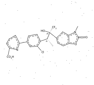 C[C@H](c1ccc(-c2cccc(C(=O)O)n2)cc1Cl)[C@@](O)(c1ccc2oc(=O)n(C)c2c1)C(F)(F)F